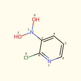 ON(O)c1cccnc1Cl